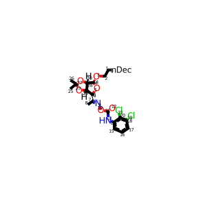 CCCCCCCCCCCCO[C@H]1O[C@H](/C(C)=N/OC(=O)Nc2cccc(Cl)c2Cl)[C@@H]2OC(C)(C)O[C@H]12